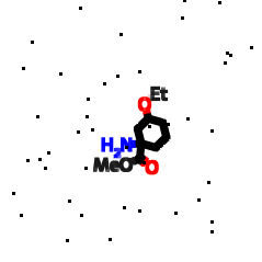 CCOC1CCCC(N)(C(=O)OC)C1